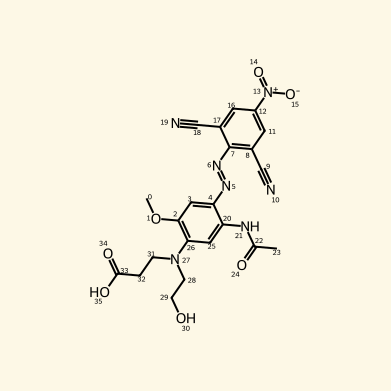 COc1cc(N=Nc2c(C#N)cc([N+](=O)[O-])cc2C#N)c(NC(C)=O)cc1N(CCO)CCC(=O)O